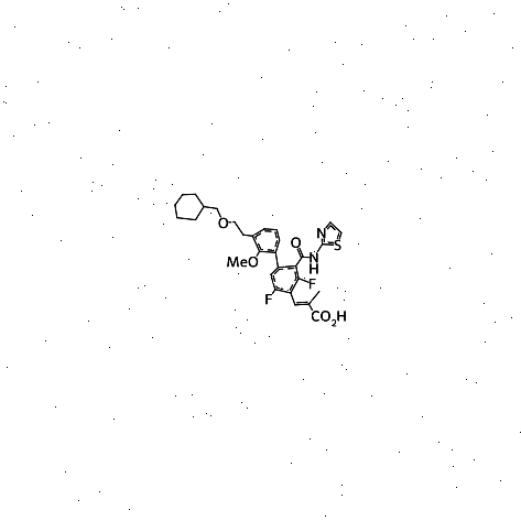 COc1c(CCOCC2CCCCC2)cccc1-c1cc(F)c(C=C(C)C(=O)O)c(F)c1C(=O)Nc1nccs1